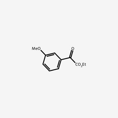 CCOC(=O)C(=O)c1cccc(OC)c1